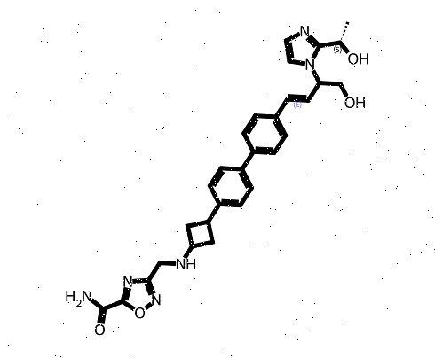 C[C@H](O)c1nccn1C(/C=C/c1ccc(-c2ccc(C3CC(NCc4noc(C(N)=O)n4)C3)cc2)cc1)CO